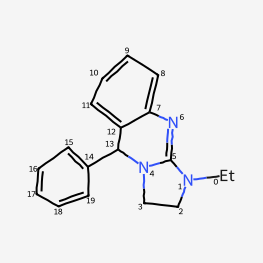 CCN1CCN2C1=Nc1ccccc1C2c1ccccc1